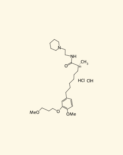 COCCCOc1cc(CCCCCC[C@@H](C)C(=O)NCCN2CCCCC2)ccc1OC.Cl.Cl